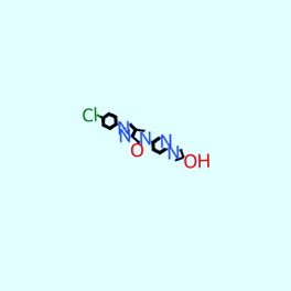 O=C1c2nn(-c3ccc(Cl)cc3)cc2CN1c1ccc(N2CC(O)C2)nc1